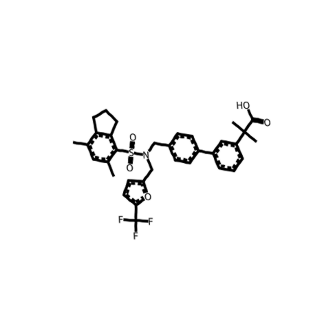 Cc1cc(C)c(S(=O)(=O)N(Cc2ccc(-c3cccc(C(C)(C)C(=O)O)c3)cc2)Cc2ccc(C(F)(F)F)o2)c2c1CCC2